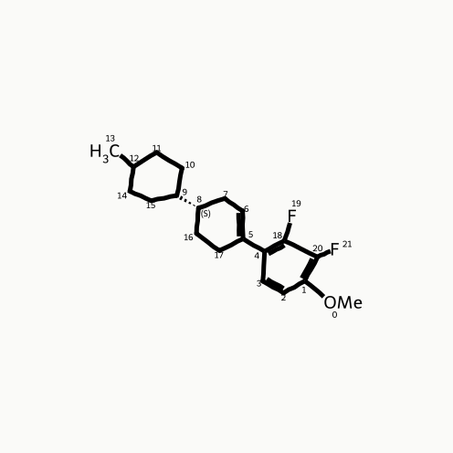 COc1ccc(C2=CC[C@@H](C3CCC(C)CC3)CC2)c(F)c1F